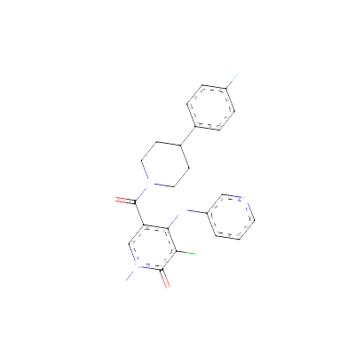 Cn1cc(C(=O)N2CCC(c3ccc(F)cc3)CC2)c(Nc2cccnc2)c(Cl)c1=O